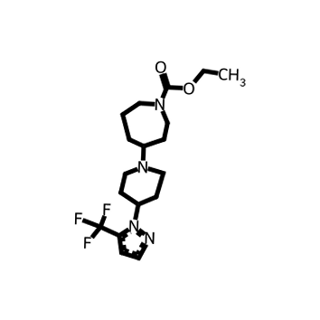 CCOC(=O)N1CCCC(N2CCC(n3nccc3C(F)(F)F)CC2)CC1